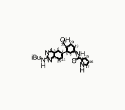 CCC(C)Nc1ncc2cc(-c3cc(NC(=O)c4ccc[nH]4)ccc3CO)ccc2n1